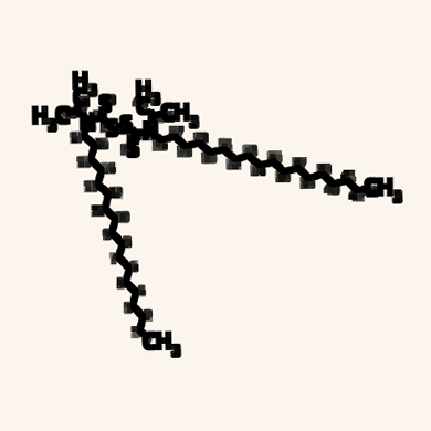 CCCCCCCCCCCCCCCCCCN(C(=S)SSC(=S)N(CCCCCCCCCCCCCCCCCC)C(C)C)C(C)C